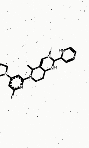 CC1C2=CN(I)C(C3C=CC=CN3)NC2CCN1c1cc(N2CCCC2)cc(F)n1